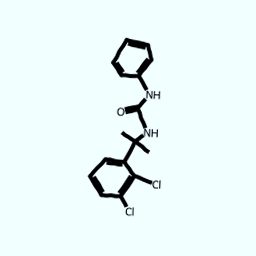 CC(C)(NC(=O)Nc1ccccc1)c1cccc(Cl)c1Cl